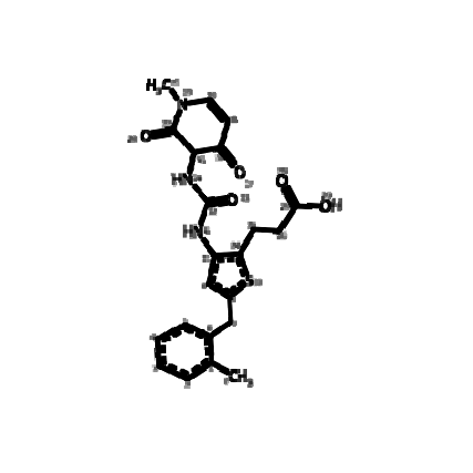 Cc1ccccc1Cc1cc(NC(=O)NC2C(=O)C=CN(C)C2=O)c(CCC(=O)O)s1